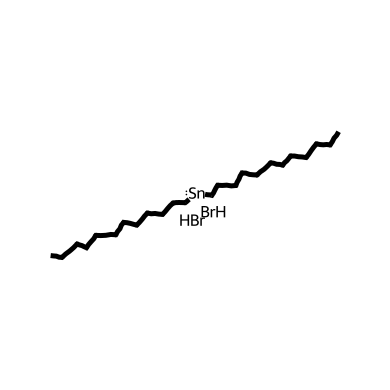 Br.Br.CCCCCCCCCCC[CH2][Sn][CH2]CCCCCCCCCCC